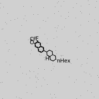 CCCCCC[C@@H]1CC[C@@H]2CC(c3ccc4cc(OC(F)(F)F)c(F)cc4c3)CCC2C1